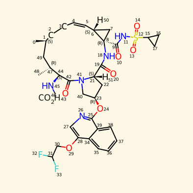 C[C@H]1CCC=C[C@@H]2C[C@@]2(C(=O)NS(=O)(=O)C2CC2)NC(=O)[C@@H]2C[C@@H](Oc3ncc(OCC(F)F)c4ccccc34)CN2C(=O)[C@@H](NC(=O)O)[C@H](C)C1